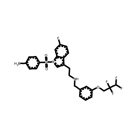 Bc1ccc(S(=O)(=O)n2cc(CCNCc3cccc(OCC(F)(F)C(F)F)c3)c3ccc(F)cc32)cc1